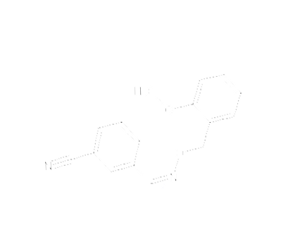 COc1ccccc1CO/N=[C]\c1cccc(C#N)c1